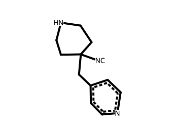 [C-]#[N+]C1(Cc2ccncc2)CCNCC1